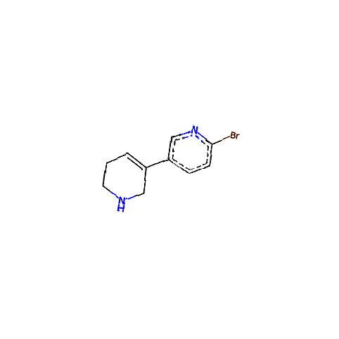 Brc1ccc(C2=CCCNC2)cn1